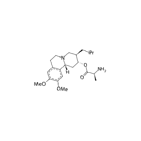 COc1cc2c(cc1OC)[C@H]1C[C@@H](OC(=O)[C@H](C)N)[C@H](CC(C)C)CN1CC2